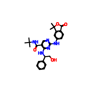 CC(C)(C)NC(=O)c1cnc(Nc2ccc3c(c2)C(C)(C)OC3=O)nc1NC(CO)c1ccccc1